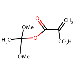 C=C(C(=O)O)C(=O)OC(C)(OC)OC